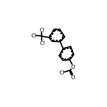 O=C(Cl)Oc1ccc(-c2cccc(C(Cl)(Cl)Cl)c2)cc1